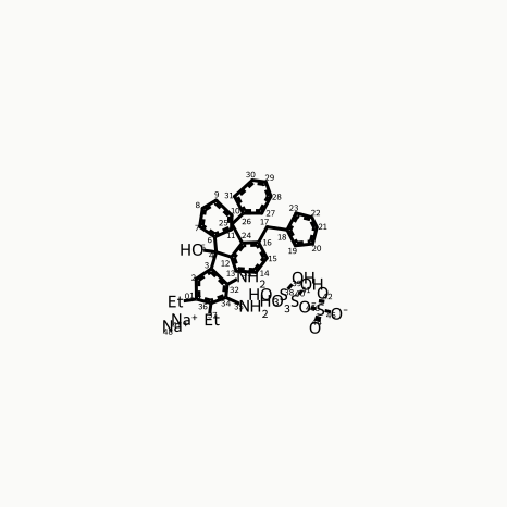 CCc1cc(C(O)(c2ccccc2)c2cccc(Cc3ccccc3)c2Cc2ccccc2)c(N)c(N)c1CC.O=S(=O)(O)O.O=S(=O)(O)O.O=S(=O)([O-])[O-].[Na+].[Na+]